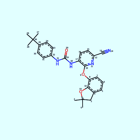 CC1(C)Cc2cccc(Oc3nc(C#N)ccc3NC(=O)Nc3ccc(C(C)(C)C)cc3)c2O1